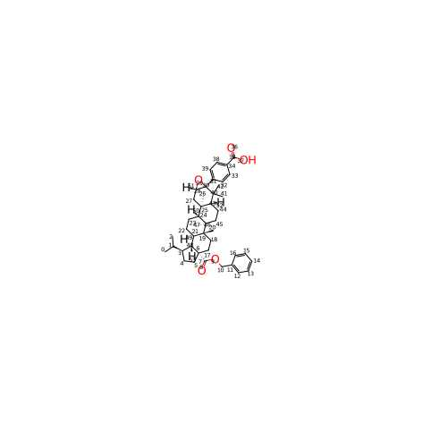 CC(C)[C@@H]1CC[C@]2(C(=O)OCc3ccccc3)CC[C@]3(C)[C@H](CC[C@@H]4[C@@]5(C)C[C@@H]6O[C@]6(c6ccc(C(=O)O)cc6)C(C)(C)[C@@H]5CC[C@]43C)[C@@H]12